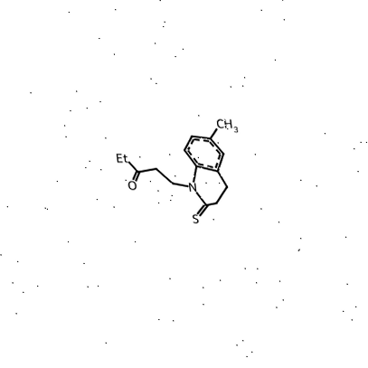 CCC(=O)CCN1C(=S)CCc2cc(C)ccc21